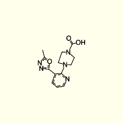 Cc1nnc(-c2cccnc2N2CCN(C(=O)O)CC2)o1